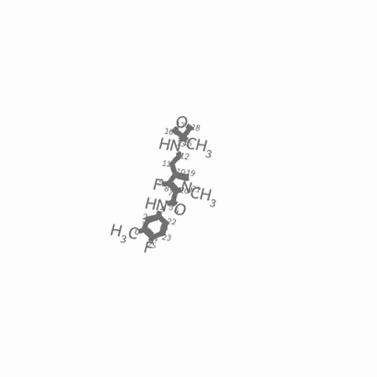 Cc1cc(NC(=O)c2c(F)c(CCNC3(C)COC3)cn2C)ccc1F